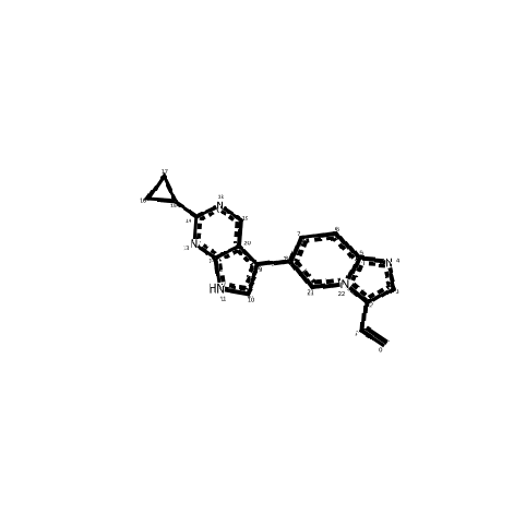 C=Cc1cnc2ccc(-c3c[nH]c4nc(C5CC5)ncc34)cn12